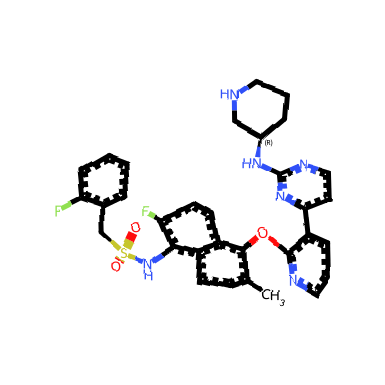 Cc1ccc2c(NS(=O)(=O)Cc3ccccc3F)c(F)ccc2c1Oc1ncccc1-c1ccnc(N[C@@H]2CCCNC2)n1